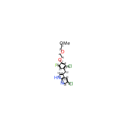 COCCOCCOc1cc(Cl)c(Cc2c[nH]c3ncc(Cl)cc23)cc1F